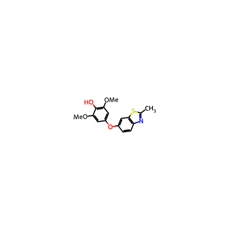 COc1cc(Oc2ccc3nc(C)sc3c2)cc(OC)c1O